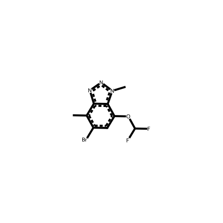 Cc1c(Br)cc(OC(F)F)c2c1nnn2C